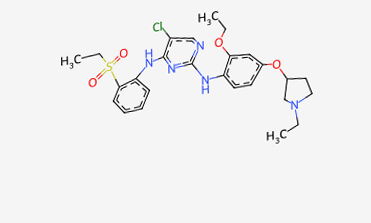 CCOc1cc(OC2CCN(CC)C2)ccc1Nc1ncc(Cl)c(Nc2ccccc2S(=O)(=O)CC)n1